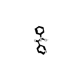 O=C(c1cccnc1)[NH+]([O-])c1ccccc1